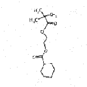 CC(C)(C)C(=O)OCCOC(=O)C1CCCCC1